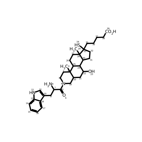 CC12CCN(C(=O)C(N)Cc3c[nH]c4ccccc34)CC1CC(O)C1C2CCC2(C)C1CCC2(S)CCCCC(=O)O